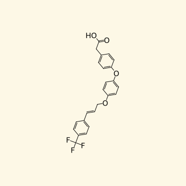 O=C(O)Cc1ccc(Oc2ccc(OC/C=C/c3ccc(C(F)(F)F)cc3)cc2)cc1